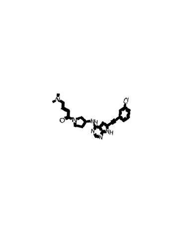 CN(C)CC=CC(=O)N1CCC(Nc2ncnc3[nH]c(C#Cc4cccc(Cl)c4)cc23)C1